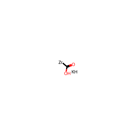 O=[C](O)[Zr].[KH]